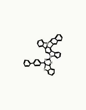 c1ccc(-c2ccc(-c3nc(-n4c5ccccc5c5c6c7cc8ccccc8cc7n7c8ccccc8c(cc54)c67)nc4c3sc3ccccc34)cc2)cc1